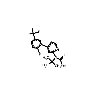 CC(C)(C)N(C(=O)O)c1cc(-c2cc(C(F)(F)F)ccc2F)ccn1